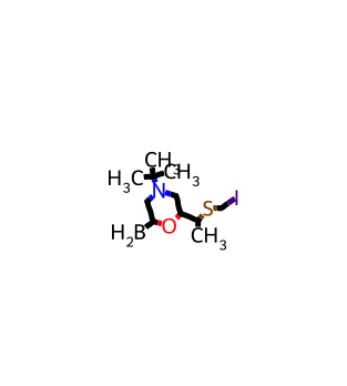 BC1CN(C(C)(C)C)CC(C(C)SCI)O1